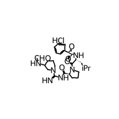 CC(C)C[C@@H](NS(=O)(=O)c1ccccc1)C(=O)N1CCC[C@H]1C(=O)NC(=N)N1CCCC(NC=O)C1.Cl